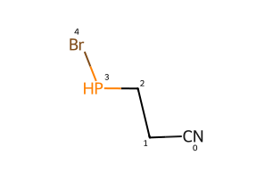 N#CCCPBr